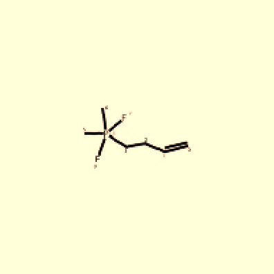 C=CCCP(C)(C)(F)F